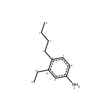 CCCCc1ccc(N)cc1CC